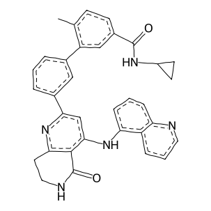 Cc1ccc(C(=O)NC2CC2)cc1-c1cccc(-c2cc(Nc3cccc4ncccc34)c3c(n2)CCNC3=O)c1